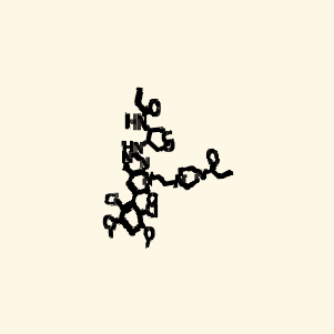 C=CC(=O)N[C@H]1CCOC[C@H]1Nc1ncc2cc(-c3c(Cl)c(OC)cc(OC)c3Cl)c(=O)n(CCN3CCN(C(=O)C=C)CC3)c2n1